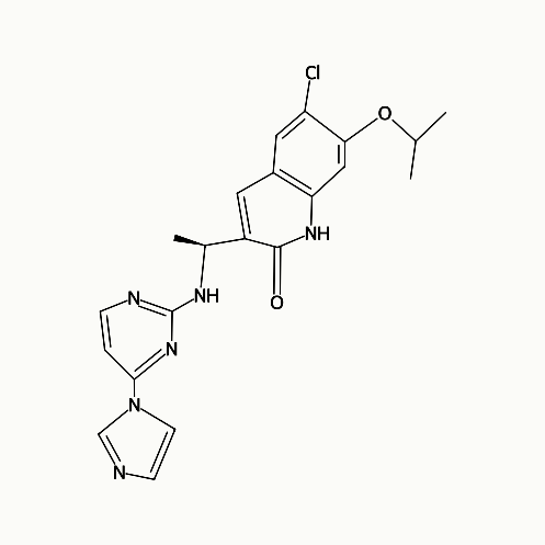 CC(C)Oc1cc2[nH]c(=O)c([C@H](C)Nc3nccc(-n4ccnc4)n3)cc2cc1Cl